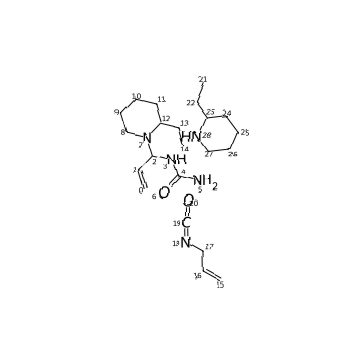 C=CC(NC(N)=O)N1CCCCC1CC.C=CCN=C=O.CCC1CCCCN1